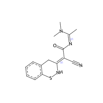 C/C(=N/C(=O)/C(C#N)=C1\Cc2ccccc2SN1)N(C)C